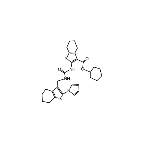 O=C(NCc1c(-n2cccc2)sc2c1CCCC2)Nc1sc2c(c1C(=O)OC1CCCCC1)CCCC2